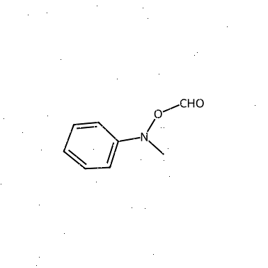 CN(OC=O)c1ccccc1